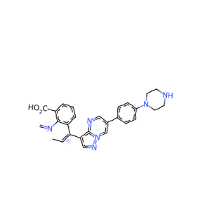 C=Nc1c(C(=O)O)cccc1/C(=C\C)c1cnn2cc(-c3ccc(N4CCNCC4)cc3)cnc12